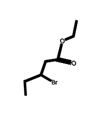 CCOC(=O)CC(Br)CC